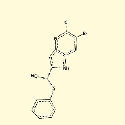 OC(Sc1ccccc1)c1cc2nc(Cl)c(Br)cc2[nH]1